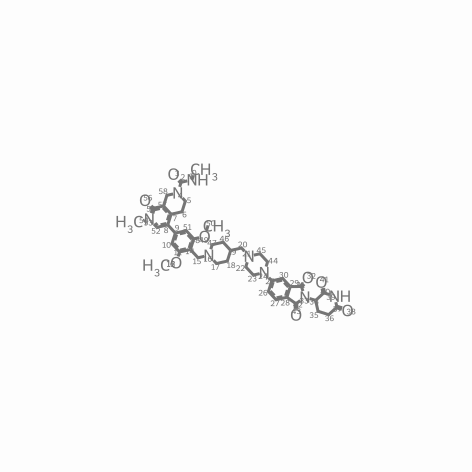 CNC(=O)N1CCc2c(-c3cc(OC)c(CN4CCC(CN5CCN(c6ccc7c(c6)C(=O)N(C6CCC(=O)NC6=O)C7=O)CC5)CC4)c(OC)c3)cn(C)c(=O)c2C1